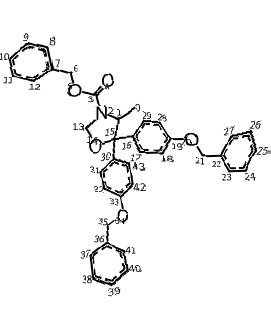 CC1N(C(=O)OCc2ccccc2)COC1(c1ccc(OCc2ccccc2)cc1)c1ccc(OCc2ccccc2)cc1